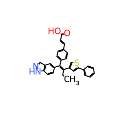 CC/C(=C(/c1ccc(/C=C/C(=O)O)cc1)c1ccc2[nH]ncc2c1)c1csc(-c2ccccc2)c1